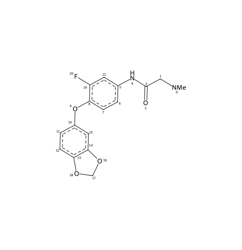 CNCC(=O)Nc1ccc(Oc2ccc3c(c2)OCO3)c(F)c1